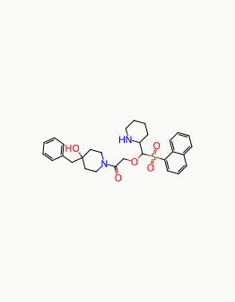 O=C(COC(C1CCCCN1)S(=O)(=O)c1cccc2ccccc12)N1CCC(O)(Cc2ccccc2)CC1